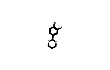 Fc1cc(C2OCCCO2)ccc1Br